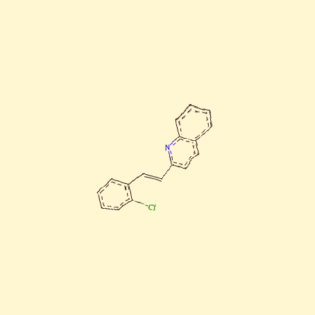 Clc1ccccc1C=Cc1ccc2ccccc2n1